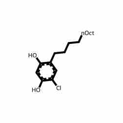 CCCCCCCCCCCCc1cc(Cl)c(O)cc1O